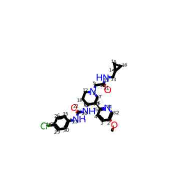 COc1ccc([C@@H]2CN(CC(=O)NCC3CC3)CC[C@H]2NC(=O)Nc2ccc(Cl)cc2)nc1